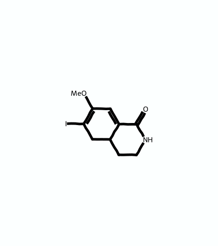 COC1=C(I)CC2CCNC(=O)C2=C1